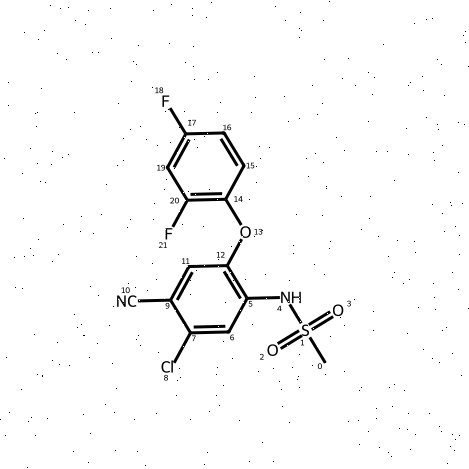 CS(=O)(=O)Nc1cc(Cl)c(C#N)cc1Oc1ccc(F)cc1F